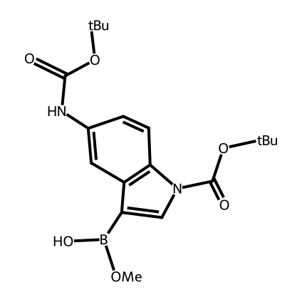 COB(O)c1cn(C(=O)OC(C)(C)C)c2ccc(NC(=O)OC(C)(C)C)cc12